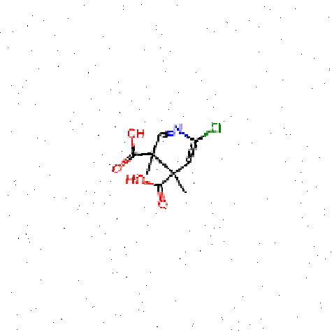 CC1(C(=O)O)C=NC(Cl)=CC1(C)C(=O)O